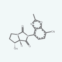 Cc1nc2c(N3C(=O)[C@@H]4[C@H](O)CCN4C3=O)ccc(C#N)c2o1